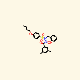 CCCCOc1ccc(S(=O)(=O)N(Cc2ccccc2)N(O)C(=O)c2cc(C)cc(C)c2)cc1